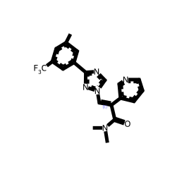 Cc1cc(-c2ncn(/C=C(/C(=O)N(C)C)c3cccnc3)n2)cc(C(F)(F)F)c1